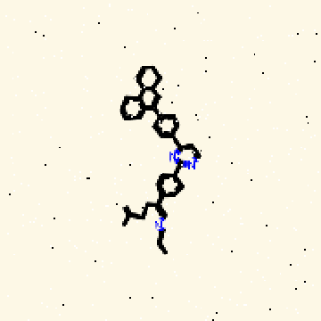 C=C(C)CC/C(=C\N=C\CC)c1ccc(-c2nccc(-c3ccc(C4=CC5CCC=CC5c5ccccc54)cc3)n2)cc1